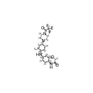 Cc1cc(N2CCN(C(=O)C(F)(F)F)CC2)ccc1Nc1ccc2c(c1)OCC(=O)N2